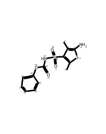 Cc1sc(N)c(C)c1S(=O)(=O)NC(=O)Oc1ccccc1